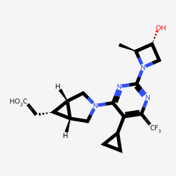 C[C@H]1[C@H](O)CN1c1nc(N2C[C@@H]3[C@H](CC(=O)O)[C@@H]3C2)c(C2CC2)c(C(F)(F)F)n1